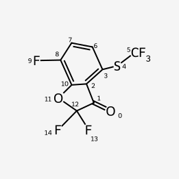 O=C1c2c(SC(F)(F)F)ccc(F)c2OC1(F)F